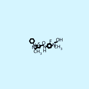 Cc1nn(C2CCCCC2)c2sc(C(=O)Nc3ccc(N(C)CCO)c(F)c3)cc12